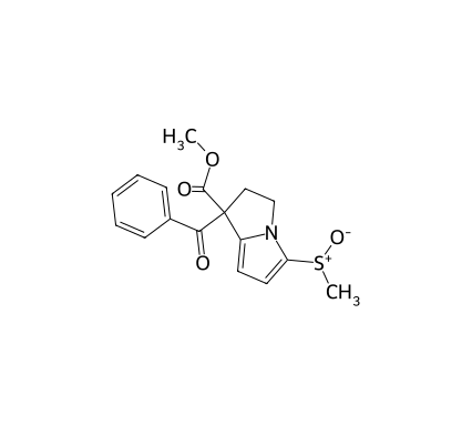 COC(=O)C1(C(=O)c2ccccc2)CCn2c([S+](C)[O-])ccc21